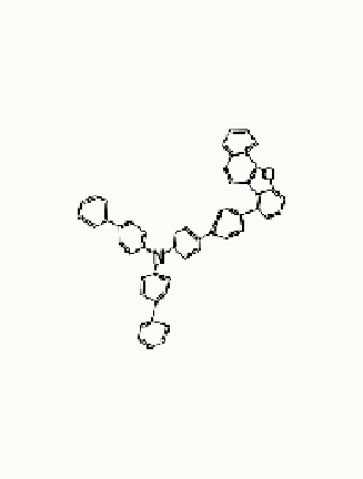 c1ccc(-c2ccc(N(c3ccc(-c4ccccc4)cc3)c3ccc(-c4ccc(-c5cccc6oc7c8ccccc8ccc7c56)cc4)cc3)cc2)cc1